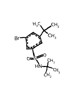 CC(C)(C)NS(=O)(=O)c1cc(Br)cc(C(C)(C)C)c1